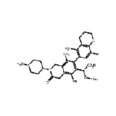 Cc1c(-c2c(C)c3c(c(C)c2[C@H](OC(C)(C)C)C(=O)O)CC(=O)N(C2CCN(C)CC2)C3)cc(F)c2c1CCCO2